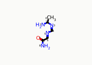 CC(N)/N=C\N=C\C(N)=O